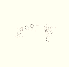 CC(C)(C)[C@H](N[PH](=O)COCCCCOc1ccc(-c2ncc(N3C(=S)N(c4ccc(C#N)c(C(F)(F)F)c4F)C(=O)C3(C)C)cc2F)c(C(F)(F)F)c1)C(=O)N1CCCC1C(=O)NCc1cnco1